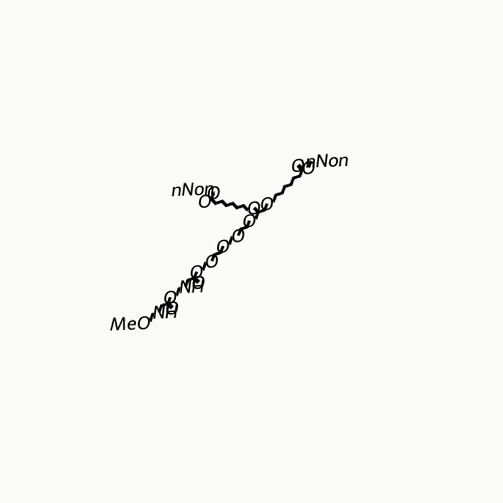 CCCCCCCCCOC(=O)CCCCCCCOCC(COCCOCCOCCOCCOC(=O)CNCCOC(=O)CNCCOC)OCCCCCCCC(=O)OCCCCCCCCC